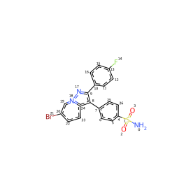 NS(=O)(=O)c1ccc(-c2c(-c3ccc(F)cc3)nn3cc(Br)ccc23)cc1